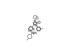 Cc1cccc(-n2c(-c3ccnc(N[C@H]4CC[C@H](C)CC4)n3)cn(C3CCCO3)c2=O)c1